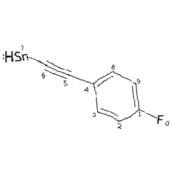 Fc1ccc(C#[C][SnH])cc1